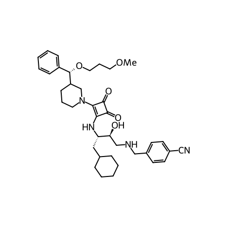 COCCCO[C@@H](c1ccccc1)C1CCCN(c2c(N[C@@H](CC3CCCCC3)[C@@H](O)CNCc3ccc(C#N)cc3)c(=O)c2=O)C1